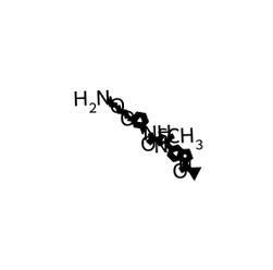 Cc1sc(C(=O)NCc2cccc(OCCOCCN)c2)nc1-c1ccc2c(c1)CCN2C(=O)C1CC1